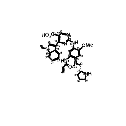 C=CC(=O)Nc1cc(Nc2ncc(C(=O)O)c(-c3cn(C)c4ccccc34)n2)c(OC)cc1N(C)C[C@H]1CCCN1